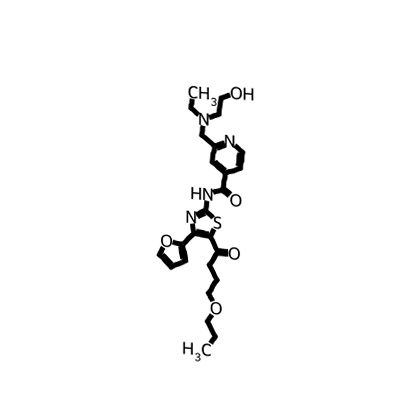 CCCOCCCC(=O)c1sc(NC(=O)c2ccnc(CN(CC)CCO)c2)nc1-c1ccco1